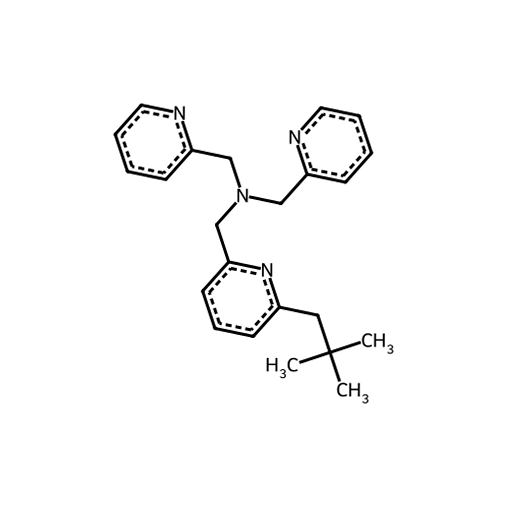 CC(C)(C)Cc1cccc(CN(Cc2ccccn2)Cc2ccccn2)n1